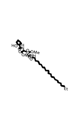 CCC=CCC=CCC=CCC=CCC=CCC=CCCC(=O)NS(CC)(SCC(NC(=O)c1ccccc1O)C(=O)OC)C(=O)OC